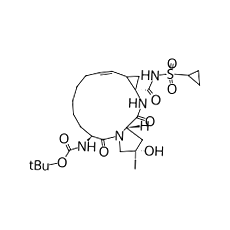 CC(C)(C)OC(=O)N[C@H]1CCCCC/C=C\C2C[C@@]2(C(=O)NS(=O)(=O)C2CC2)NC(=O)[C@@H]2C[C@@](O)(I)CN2C1=O